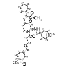 CS(=O)(=O)N(CC1CCN(C(=O)CCOCc2ccc(Cl)c(Cl)c2)C(NCc2ccccc2)C1)c1ccccc1.Cl